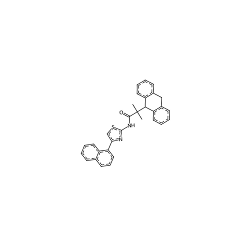 CC(C)(C(=O)Nc1nc(-c2cccc3ccccc23)cs1)C1c2ccccc2Cc2ccccc21